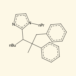 CCCCC(c1nccn1CCC)C(C)(Cc1ccccc1)c1ccccc1